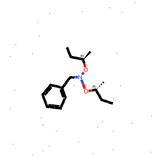 CC[C@@H](C)ON(Cc1ccccc1)O[C@H](C)CC